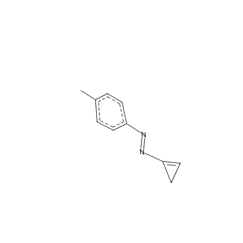 Cc1ccc(N=NC2=CC2)cc1